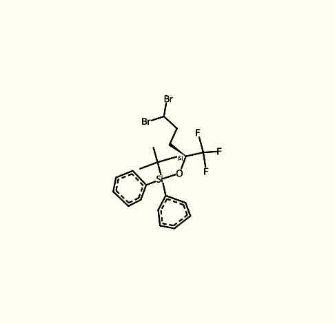 CC(C)(C)[Si](O[C@@H](CCC(Br)Br)C(F)(F)F)(c1ccccc1)c1ccccc1